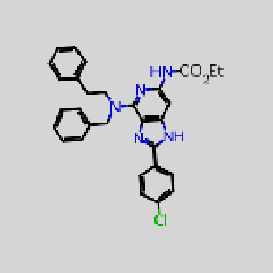 CCOC(=O)Nc1cc2[nH]c(-c3ccc(Cl)cc3)nc2c(N(CCc2ccccc2)Cc2ccccc2)n1